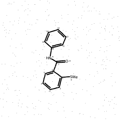 CSc1ccccc1C(=O)Nc1ccccc1